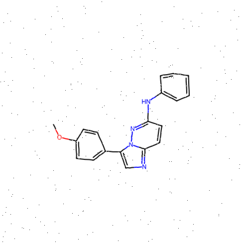 COc1ccc(-c2cnc3ccc(Nc4ccccc4)nn23)cc1